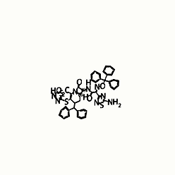 Nc1nc(C(=NOC(c2ccccc2)(c2ccccc2)c2ccccc2)C(=O)N[C@@H]2C(=O)N3C(C(=O)O)=C(Sc4nncs4)C(C(c4ccccc4)c4ccccc4)C[C@H]23)ns1